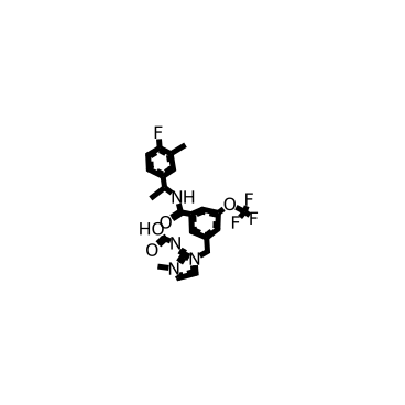 Cc1cc(C(C)NC(=O)c2cc(Cn3ccn(C)c3=NC(=O)O)cc(OC(F)(F)F)c2)ccc1F